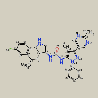 COC(C[C@@H]1CNC[C@H]1NC(=O)Nc1c(C)c(-c2cnc(C)nc2)nn1-c1ccccc1)c1cccc(F)c1